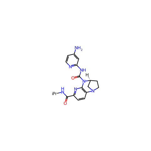 CC(C)NC(=O)c1ccc2c(n1)N(C(=O)Nc1cc(N)ccn1)[C@H]1CCN2C1